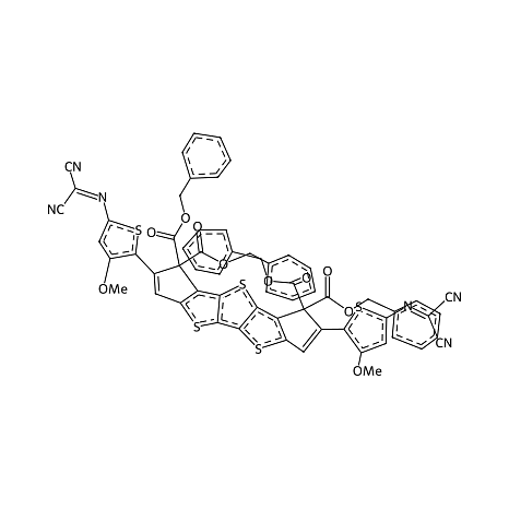 COc1cc(N=C(C#N)C#N)sc1C1=Cc2sc3c(sc4c5c(sc43)C=C(c3sc(N=C(C#N)C#N)cc3OC)C5(C(=O)OCc3ccccc3)C(=O)OCc3ccccc3)c2C1(C(=O)OCc1ccccc1)C(=O)OCc1ccccc1